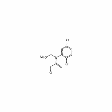 CCc1ccc(CC)c(N(COC)C(=O)CCl)c1